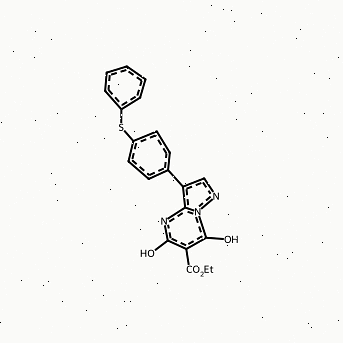 CCOC(=O)c1c(O)nc2c(-c3ccc(Sc4ccccc4)cc3)cnn2c1O